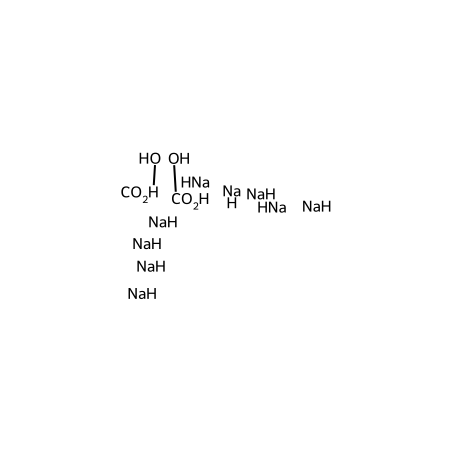 O=C(O)O.O=C(O)O.[NaH].[NaH].[NaH].[NaH].[NaH].[NaH].[NaH].[NaH].[NaH]